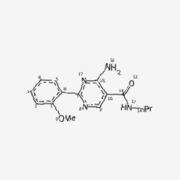 COc1ccccc1-c1ncc(C(=O)NC(C)C)c(N)n1